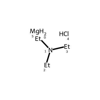 CCN(CC)CC.Cl.[MgH2]